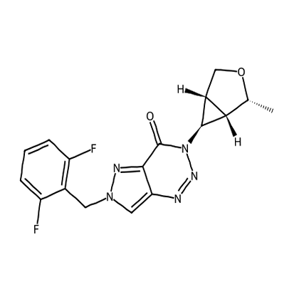 C[C@H]1OC[C@@H]2[C@H]1[C@H]2n1nnc2cn(Cc3c(F)cccc3F)nc2c1=O